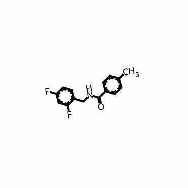 Cc1ccc(C(=O)NCc2ccc(F)cc2F)cc1